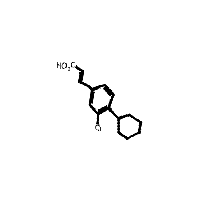 O=C(O)/C=C/c1ccc(C2CCCCC2)c(Cl)c1